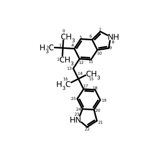 CC(C)(C)c1cc2c[nH]cc2cc1CC(C)(C)c1ccc2cc[nH]c2c1